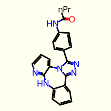 CCCC(=O)Nc1ccc(-c2nnc3n2-c2cccnc2Nc2ccccc2-3)cc1